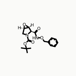 CC(C)(C)OC(=O)N1C[C@H]2O[C@H]2[C@H]1C(=O)NOCc1ccccc1